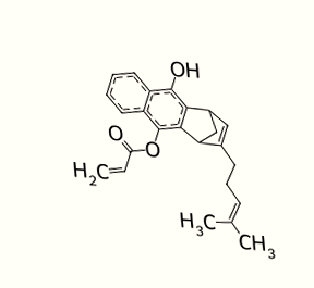 C=CC(=O)Oc1c2c(c(O)c3ccccc13)C1C=C(CCC=C(C)C)C2C1